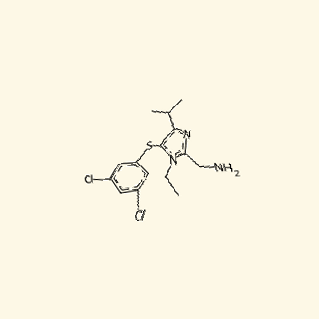 CCn1c(CN)nc(C(C)C)c1Sc1cc(Cl)cc(Cl)c1